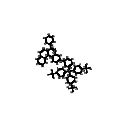 CC(C)(C)c1ccc(S(c2ccc(C(C)(C)C)cc2)(c2ccc(C(C)(C)C)cc2)c2cccc(-c3ccc4c(c3)nc(-c3ccccc3)c3ccc5ccccc5c34)c2)cc1